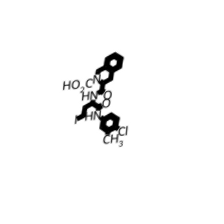 Cc1cc(NC(=O)C(CCI)NC(=O)C2Cc3ccccc3CN2C(=O)O)ccc1Cl